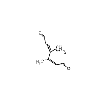 CC(=CC=O)C(C)=CC=O